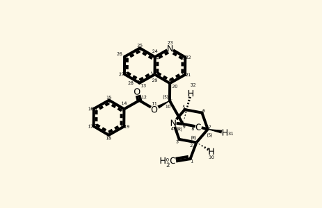 C=C[C@H]1CN2CC[C@H]1C[C@@H]2[C@@H](OC(=O)c1ccccc1)c1ccnc2ccccc12